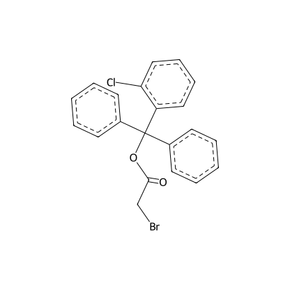 O=C(CBr)OC(c1ccccc1)(c1ccccc1)c1ccccc1Cl